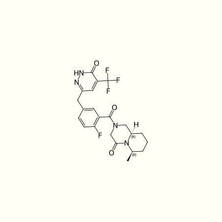 C[C@@H]1CCC[C@@H]2CN(C(=O)c3cc(Cc4cc(C(F)(F)F)c(=O)[nH]n4)ccc3F)CC(=O)N21